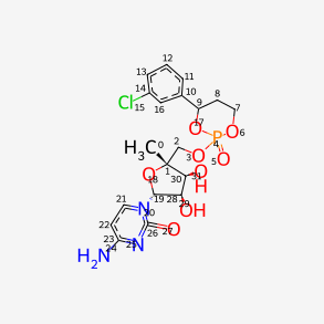 C[C@]1(COP2(=O)OCCC(c3cccc(Cl)c3)O2)O[C@@H](n2ccc(N)nc2=O)[C@H](O)[C@@H]1O